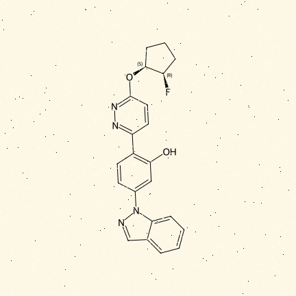 Oc1cc(-n2ncc3ccccc32)ccc1-c1ccc(O[C@H]2CCC[C@H]2F)nn1